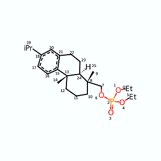 CCOP(=O)(OCC)OC[C@]1(C)CCC[C@]2(C)c3ccc(C(C)C)cc3CC[C@@H]12